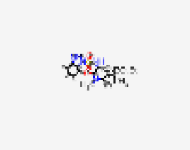 CCOC(=O)/C(C)=C/C(C(C)C)N(C)C(=O)C(NS(=O)(=O)n1nnc2ccccc21)C(C)(C)C